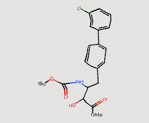 COC(=O)C(O)C(Cc1ccc(-c2cccc(Cl)c2)cc1)NC(=O)OC(C)(C)C